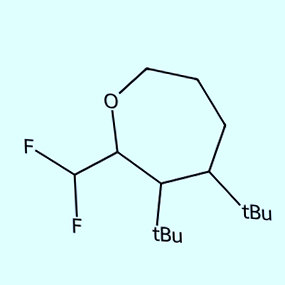 CC(C)(C)C1CCCOC(C(F)F)C1C(C)(C)C